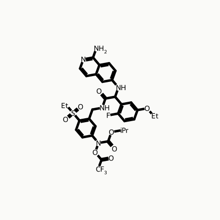 CCOc1ccc(F)c(C(Nc2ccc3c(N)nccc3c2)C(=O)NCc2cc(N(OC(=O)C(F)(F)F)C(=O)OC(C)C)ccc2S(=O)(=O)CC)c1